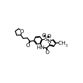 Cc1cc2n(c1)S(=O)(=O)c1ccc(C(=O)CCC3CCCO3)cc1NC2=O